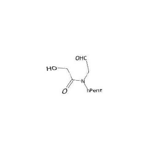 CCCCCN(CC=O)C(=O)CO